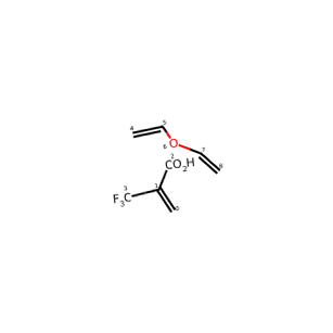 C=C(C(=O)O)C(F)(F)F.C=COC=C